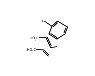 C/C=C/C(=O)O.C=CC(=O)O.[Li][c]1ccccc1